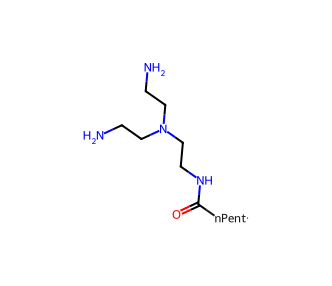 [CH2]CCC[CH]C(=O)NCCN(CCN)CCN